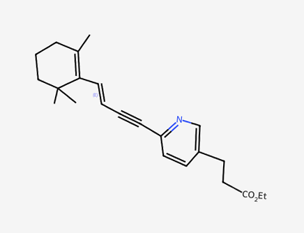 CCOC(=O)CCc1ccc(C#C/C=C/C2=C(C)CCCC2(C)C)nc1